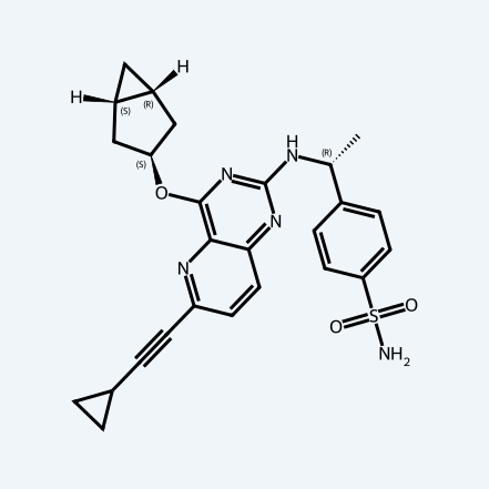 C[C@@H](Nc1nc(O[C@H]2C[C@@H]3C[C@@H]3C2)c2nc(C#CC3CC3)ccc2n1)c1ccc(S(N)(=O)=O)cc1